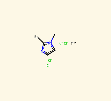 CCc1nccn1C.[Cl-].[Cl-].[Cl-].[Cl-].[Ti+4]